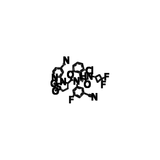 N#Cc1cc(F)cc(N(C(=O)C2CCS(=O)(=O)N2c2cc(C#N)ccn2)[C@@H](C(=O)NC2CC(F)(F)C2)c2ccccc2Cl)c1